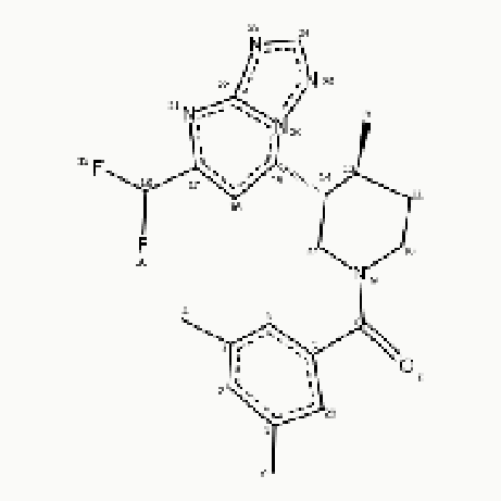 Cc1cc(C)cc(C(=O)N2CC[C@H](C)[C@@H](c3cc(C(F)F)nc4ncnn34)C2)c1